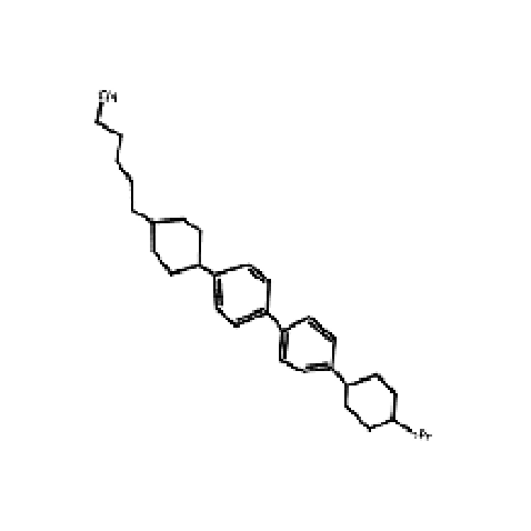 CCCC1CCC(c2ccc(-c3ccc(C4CCC(CCCCCC#N)CC4)cc3)cc2)CC1